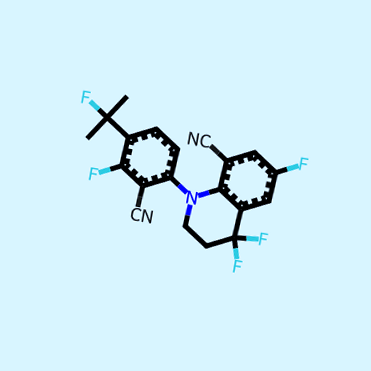 CC(C)(F)c1ccc(N2CCC(F)(F)c3cc(F)cc(C#N)c32)c(C#N)c1F